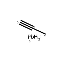 C#CC.[PbH2]